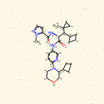 Cn1nccc1C(=O)N[C@H](C(=O)Nc1ccc(N2CCOCC2C2CCC2)nc1)C(C1CCC1)C1(C)CC1